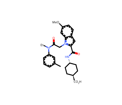 CCN(C(=O)Cn1c(C(=O)N[C@H]2CC[C@H](C(=O)O)CC2)cc2ccc(OC)cc21)c1cccc(C)c1